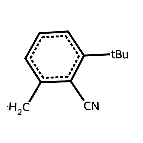 [CH2]c1cccc(C(C)(C)C)c1C#N